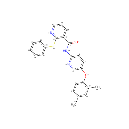 Cc1ccc(Oc2ccc(NC(=O)c3cccnc3Sc3ccccc3)nc2)c(C)c1